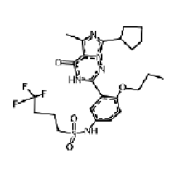 CCCOc1ccc(NS(=O)(=O)CCCC(F)(F)F)cc1-c1nn2c(C3CCCC3)nc(C)c2c(=O)[nH]1